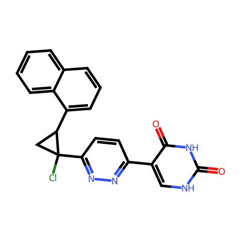 O=c1[nH]cc(-c2ccc(C3(Cl)CC3c3cccc4ccccc34)nn2)c(=O)[nH]1